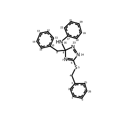 c1ccc(CSC2=NC(Cc3ccccc3)(Nc3ccccc3)N=N2)cc1